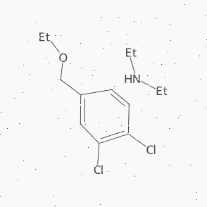 CCNCC.CCOCc1ccc(Cl)c(Cl)c1